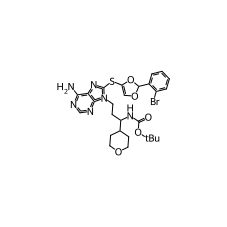 CC(C)(C)OC(=O)NC(CCn1c(SC2=COC(c3ccccc3Br)O2)nc2c(N)ncnc21)C1CCOCC1